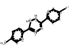 Nc1ccc(C2=NN=C(c3ccc(F)cn3)NN2)nc1